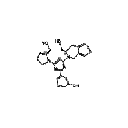 OC[C@@H]1CCCN1c1nc(-c2cccc(O)c2)nc(N2Cc3ccccc3C[C@@H]2CO)n1